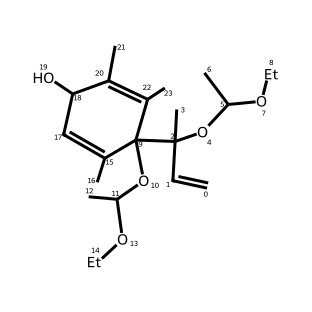 C=CC(C)(OC(C)OCC)C1(OC(C)OCC)C(C)=CC(O)C(C)=C1C